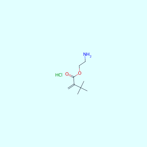 C=C(C(=O)OCCN)C(C)(C)C.Cl